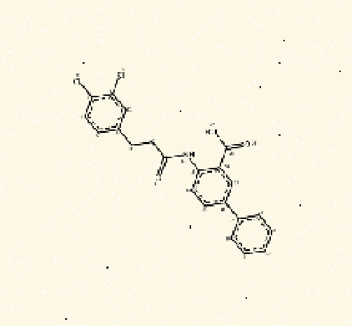 O=C(CCc1ccc(Cl)c(Cl)c1)Nc1ccc(-c2ccccc2)cc1C(=O)O